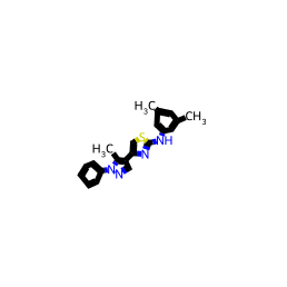 Cc1cc(C)cc(Nc2nc(-c3cnn(-c4ccccc4)c3C)cs2)c1